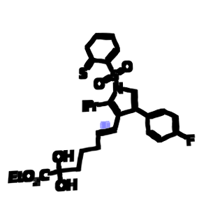 CCOC(=O)C(O)(O)CCC/C=C/c1c(-c2ccc(F)cc2)cn(S(=O)(=O)C2=CC=CCC2=S)c1C(C)C